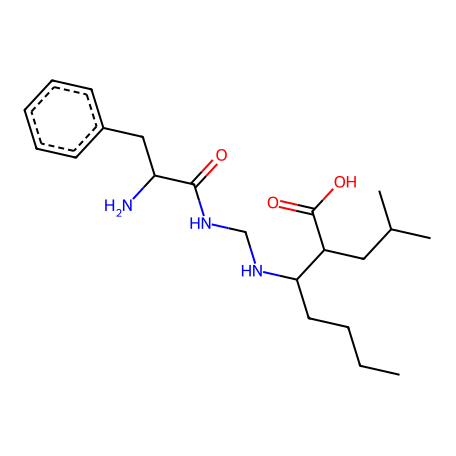 CCCCC(NCNC(=O)C(N)Cc1ccccc1)C(CC(C)C)C(=O)O